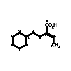 C/C=C(\CCC1CCCCC1)C(=O)O